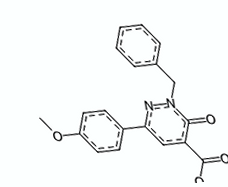 COC(=O)c1cc(-c2ccc(OC)cc2)nn(Cc2ccccc2)c1=O